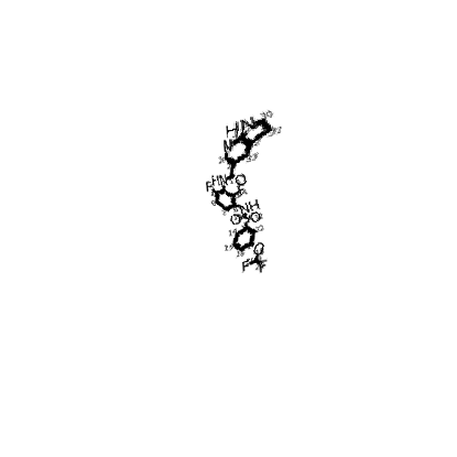 O=C(Nc1c(F)ccc(NS(=O)(=O)c2cccc(OC(F)F)c2)c1F)c1cnc2[nH]ccc2c1